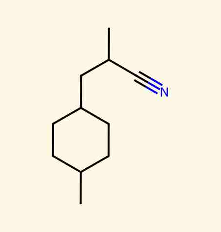 CC(C#N)CC1CCC(C)CC1